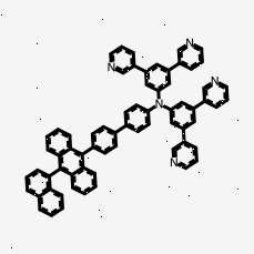 c1cncc(-c2cc(-c3cccnc3)cc(N(c3ccc(-c4ccc(-c5c6ccccc6c(-c6cccc7ccccc67)c6ccccc56)cc4)cc3)c3cc(-c4cccnc4)cc(-c4cccnc4)c3)c2)c1